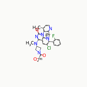 Cc1ccnc(C(C)C)c1-n1c(=O)nc(N(C)C2CN(C(=O)[C@H]3CO3)C2)c2cc(Cl)c(-c3ccccc3F)nc21